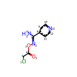 N/C(=N\OC(=O)CCl)c1ccncc1